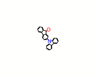 O=C1c2ccccc2-c2ccc(-n3c4ccccc4c4ccccc43)cc21